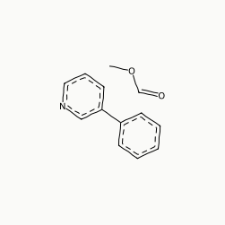 COC=O.c1ccc(-c2cccnc2)cc1